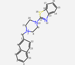 c1ccc2cc(CN3CCN(c4nc5ccccc5s4)CC3)ccc2c1